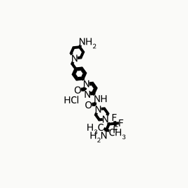 CC(C)(N)C(N1CCN(C(=O)Nc2ccn(-c3ccc(CN4CCC(N)CC4)cc3)c(=O)n2)CC1)C(F)(F)F.Cl